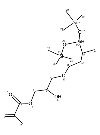 C=C(C)C(=O)OCC(O)COCCC(C)[SiH](O[Si](C)(C)C)O[Si](C)(C)C